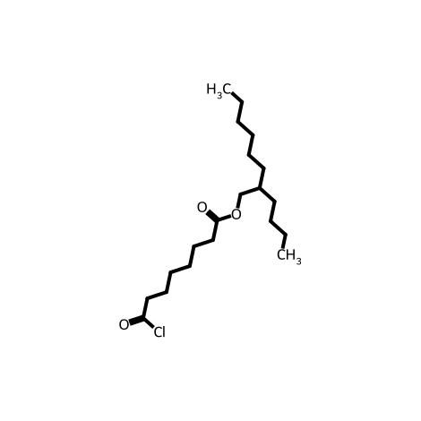 CCCCCCC(CCCC)COC(=O)CCCCCCC(=O)Cl